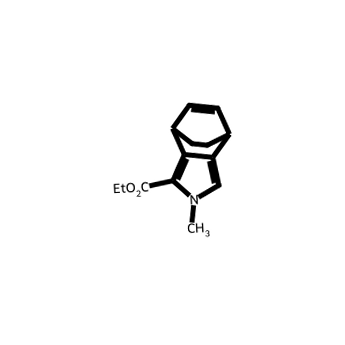 CCOC(=O)c1c2c(cn1C)C1C=CC2CC1